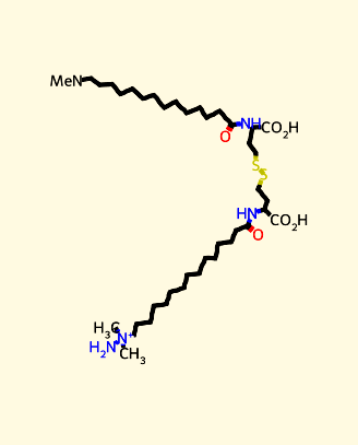 CNCCCCCCCCCCCCCC(=O)NC(CCSSCCC(NC(=O)CCCCCCCCCCCCCC[N+](C)(C)N)C(=O)O)C(=O)O